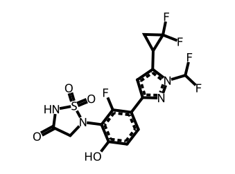 O=C1CN(c2c(O)ccc(-c3cc(C4CC4(F)F)n(C(F)F)n3)c2F)S(=O)(=O)N1